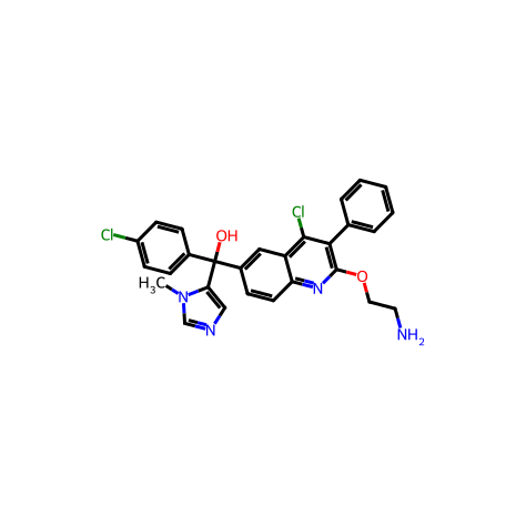 Cn1cncc1C(O)(c1ccc(Cl)cc1)c1ccc2nc(OCCN)c(-c3ccccc3)c(Cl)c2c1